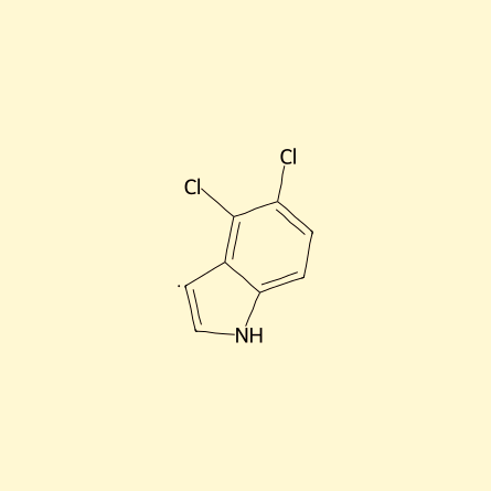 Clc1ccc2[nH]c[c]c2c1Cl